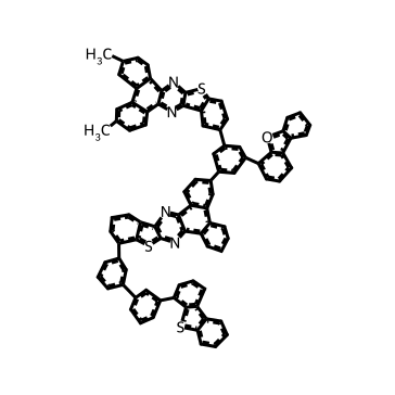 Cc1ccc2c(c1)c1cc(C)ccc1c1nc3c(nc21)sc1ccc(-c2cc(-c4ccc5c(c4)c4ccccc4c4nc6sc7c(-c8cccc(-c9cccc(-c%10cccc%11c%10sc%10ccccc%10%11)c9)c8)cccc7c6nc54)cc(-c4cccc5c4oc4ccccc45)c2)cc13